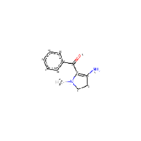 CN1CCC(N)=C1C(=O)c1ccccc1